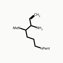 C=CC(N)C(CCCCCCCC)NC